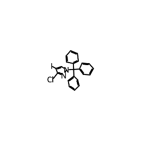 Clc1nn(C(c2ccccc2)(c2ccccc2)c2ccccc2)cc1I